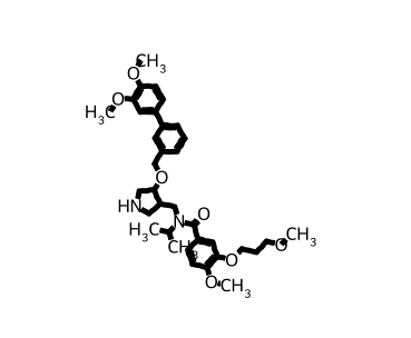 COCCCOc1cc(C(=O)N(CC2CNCC2OCc2cccc(-c3ccc(OC)c(OC)c3)c2)C(C)C)ccc1OC